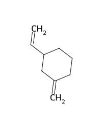 C=CC1CCCC(=C)C1